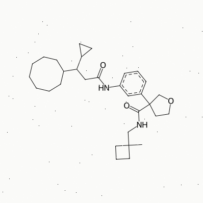 CC1(CNC(=O)C2(c3cccc(NC(=O)CC(C4CCCCCCC4)C4CC4)c3)CCOC2)CCC1